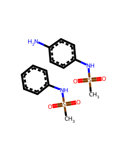 CS(=O)(=O)Nc1ccc(N)cc1.CS(=O)(=O)Nc1ccccc1